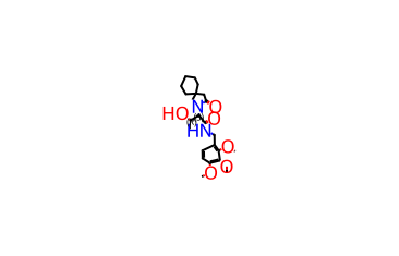 COc1ccc(CNC(=O)[C@H]([C@@H](C)O)N2CC3(CCCCC3)CC2=O)c(OC)c1OC